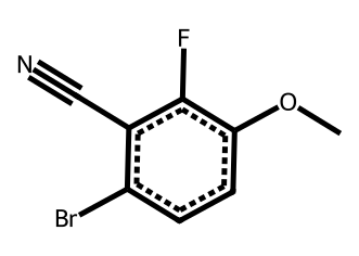 COc1ccc(Br)c(C#N)c1F